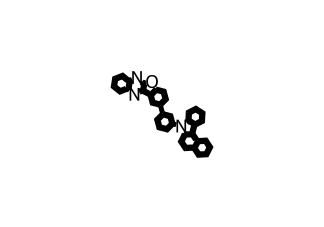 c1cc(-c2ccc3oc4nc5ccccc5nc4c3c2)cc(-n2c3ccccc3c3c4ccccc4ccc32)c1